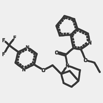 CCOc1ncc2ccccc2c1C(=O)N1CC2CCC1(COc1cnc(C(F)(F)F)cn1)C2